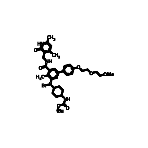 CCN(c1cc(-c2ccc(OCCOCCOC)cc2)cc(C(=O)NCc2c(C)cc(C)[nH]c2=O)c1C)C1CCC(NC(=O)OC(C)(C)C)CC1